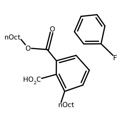 CCCCCCCCOC(=O)c1cccc(CCCCCCCC)c1C(=O)O.Fc1ccccc1